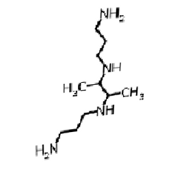 CC(NCCCN)C(C)NCCCN